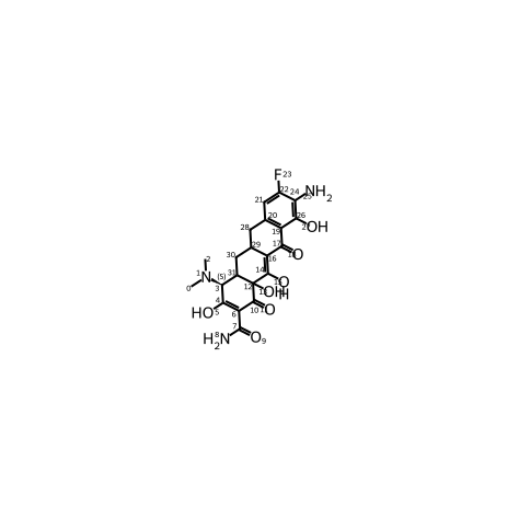 CN(C)[C@@H]1C(O)=C(C(N)=O)C(=O)C2(O)C(O)=C3C(=O)c4c(cc(F)c(N)c4O)CC3CC12